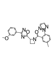 COc1cccc(-c2noc(C3CCN3C(=O)c3cc(C)ccc3-n3nccn3)n2)c1